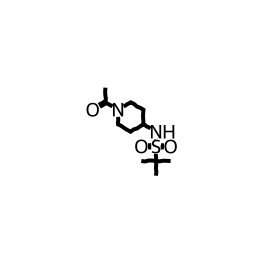 CC(=O)N1CCC(NS(=O)(=O)C(C)(C)C)CC1